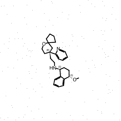 CO[C@H]1CC[C@H](NCC[C@@]2(c3ccccn3)CCOC3(CCCC3)C2)c2ccccc21